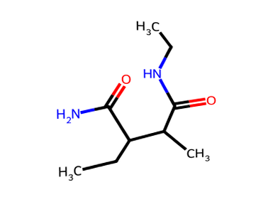 CCNC(=O)C(C)C(CC)C(N)=O